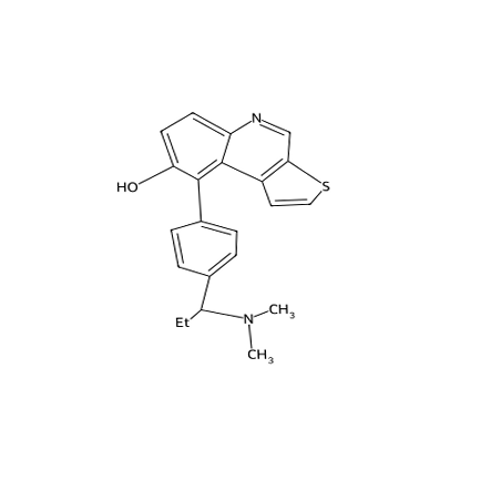 CCC(c1ccc(-c2c(O)ccc3ncc4sccc4c23)cc1)N(C)C